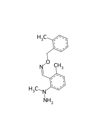 Cc1ccccc1CO/N=C\c1c(C)cccc1N(C)N